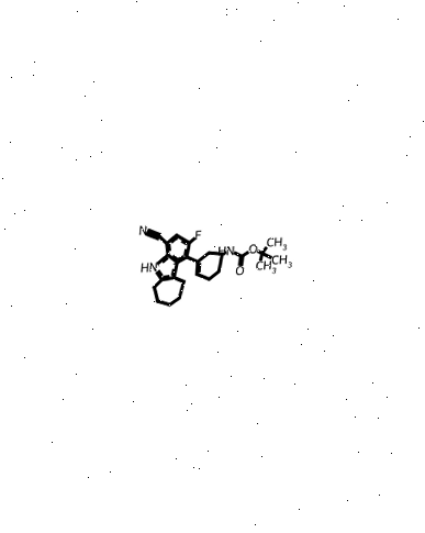 CC(C)(C)OC(=O)N[C@H]1CCC=C(c2c(F)cc(C#N)c3[nH]c4c(c23)CCCCC4)C1